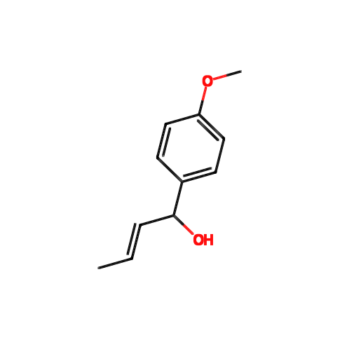 CC=CC(O)c1ccc(OC)cc1